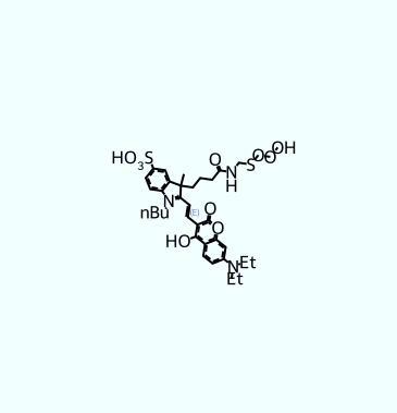 CCCC[N+]1=C(/C=C/c2c(O)c3ccc(N(CC)CC)cc3oc2=O)C(C)(CCCC(=O)NCSOOO)c2cc(S(=O)(=O)O)ccc21